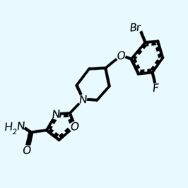 NC(=O)c1coc(N2CCC(Oc3cc(F)ccc3Br)CC2)n1